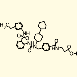 CCc1cccc(NS(=O)(=O)c2ccccc2NC(=O)N(Cc2ccc(C(=O)NCCC(=O)O)cc2)C2CCC(C3CCCCC3)CC2)c1